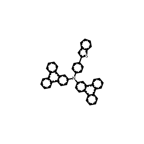 c1ccc2sc(-c3ccc(N(c4ccc5c6ccccc6c6ccccc6c5c4)c4ccc5c6ccccc6c6ccccc6c5c4)cc3)cc2c1